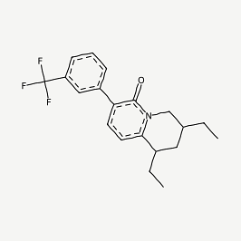 CCC1CC(CC)c2ccc(-c3cccc(C(F)(F)F)c3)c(=O)n2C1